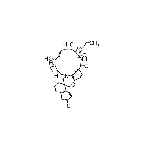 CCCCC1[C@@H](C)C/C=C/[C@H](O)[C@@H]2CC[C@H]2CN2C[C@@]3(CCCc4cc(Cl)ccc43)COc3ccc(cc32)C(=O)NS1(=O)=O